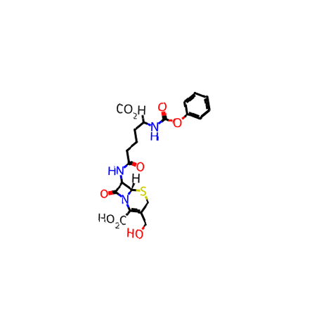 O=C(CCCC(NC(=O)Oc1ccccc1)C(=O)O)NC1C(=O)N2C(C(=O)O)=C(CO)CS[C@@H]12